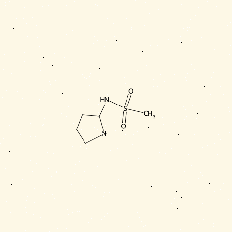 CS(=O)(=O)NC1CCC[N]1